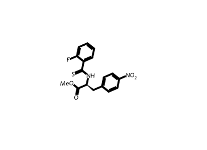 COC(=O)[C@H](Cc1ccc([N+](=O)[O-])cc1)NC(=S)c1ccccc1F